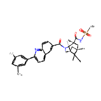 CCCCS(=O)(=O)NC(=O)[C@@H]1C[C@H]2C[C@H](C2(C)C)[C@@]1(C)NC(=O)c1ccc2nc(-c3cc(C(F)(F)F)cc(C(F)(F)F)c3)ccc2c1